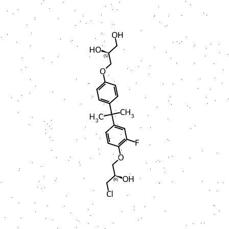 CC(C)(c1ccc(OC[C@@H](O)CO)cc1)c1ccc(OC[C@@H](O)CCl)c(F)c1